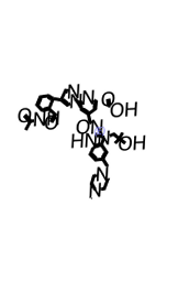 CC(=O)Nc1cccc(-c2cnn(-c3cc(C(=O)/N=c4\[nH]c5ccc(CN6CCN(C)CC6)cc5n4CC(C)(C)O)ccn3)c2)c1C=O.O=CO